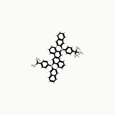 CC(C)c1ccc(N(c2ccc3ccccc3c2)c2cc3c4c(c(N(c5ccc(C(C)(C)C)cc5)c5ccc6c(c5)C=CCC6)cc3c3ccccc23)=CCCC=4)cc1